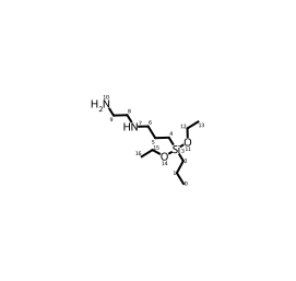 CCC[Si](CCCNCCN)(OCC)OCC